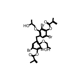 C=C(C)C(=O)Oc1c(Br)cc(Cc2cc(Br)c(OC(=O)C(=C)C)c(Br)c2OCC(C)O)c(OCC(C)O)c1Br